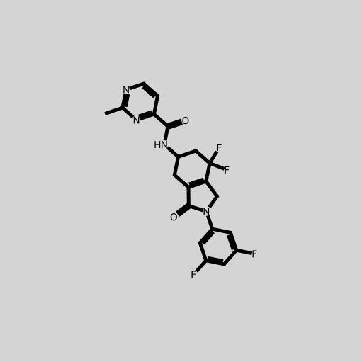 Cc1nccc(C(=O)NC2CC3=C(CN(c4cc(F)cc(F)c4)C3=O)C(F)(F)C2)n1